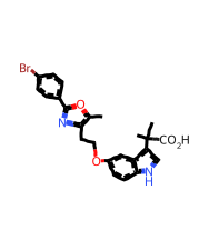 Cc1oc(-c2ccc(Br)cc2)nc1CCOc1ccc2[nH]cc(C(C)(C)C(=O)O)c2c1